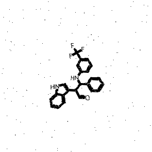 O=CC(c1c[nH]c2ccccc12)C(Nc1cccc(C(F)(F)F)c1)c1ccccc1